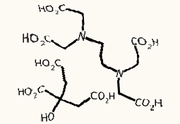 O=C(O)CC(O)(CC(=O)O)C(=O)O.O=C(O)CN(CCN(CC(=O)O)CC(=O)O)CC(=O)O